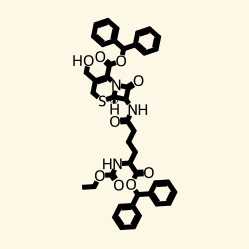 CCOC(=O)NC(CCCC(=O)NC1C(=O)N2C(C(=O)OC(c3ccccc3)c3ccccc3)=C(CO)CS[C@@H]12)C(=O)OC(c1ccccc1)c1ccccc1